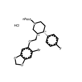 CCCCCN1CC[C@H](c2ccc(F)cc2)[C@@H](COc2cc3c(cc2Br)OCO3)C1.Cl